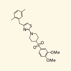 COc1ccc(S(=O)(=O)C2CCN(c3nc(Cc4cc(C)ccc4C)cs3)CC2)cc1OC